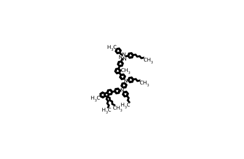 CCCCCCc1ccc(-c2nc(-c3ccc(C)cc3)nc(-c3ccc(-c4cccc(-c5ccc(N(c6ccc(CCCC)cc6)c6ccc(N(c7ccc(CCCC)cc7)c7ccc(-c8ccc9c(c8)C(CCCCCC)(CCCCCC)c8cc(C)ccc8-9)cc7)cc6)cc5)c4C)cc3)n2)cc1